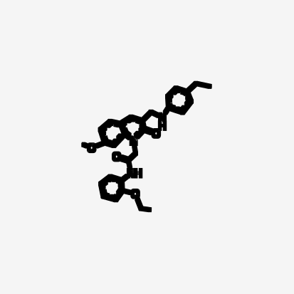 CCOc1ccccc1NC(=O)Cn1c(=O)c(CNc2ccc(CC)cc2)cc2ccc(OC)cc21